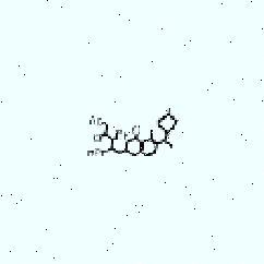 CCCC(CC1CC(=O)c2c(ccc(C(C)C3CCC(C)CC3)c2C)C1)C(CC)C(=O)CC(C)=O